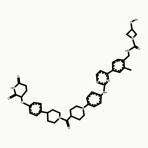 Cc1cc(-c2ccnc(Nc3ccc(N4CCC(C(=O)N5CCC(c6ccc(OC7CCC(=O)NC7=O)cc6)CC5)CC4)cc3)n2)ccc1CNC(=O)N1CC(OC(C)C)C1